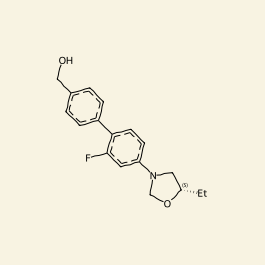 CC[C@H]1CN(c2ccc(-c3ccc(CO)cc3)c(F)c2)CO1